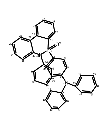 O=P1(c2ccc(N(c3ccccc3)c3ccccc3)cc2)c2ccccc2-c2ccccc2N1c1ccccc1